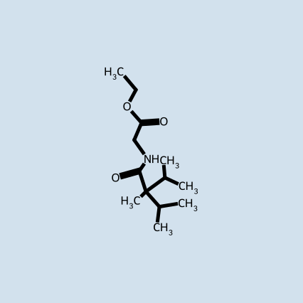 CCOC(=O)CNC(=O)C(C)(C(C)C)C(C)C